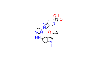 Cc1nn(-c2ccnc(Nc3ccc4[nH]cc(C(=O)C5CC5)c4c3)n2)cc1CN1C[C@H](O)[C@@H](O)C1